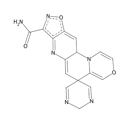 NC(=O)c1noc2c1=NC1=CC3(C=NCN=C3)C3=COC=CN3C1C=2